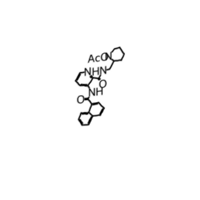 CC(=O)ON1CCCCC1CNC(=O)c1ncccc1NC(=O)c1cccc2ccccc12